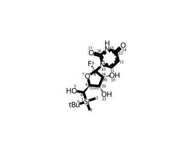 CC(C)(C)[Si](C)(C)C(O)[C@H]1O[C@@](F)(n2ccc(=O)[nH]c2=O)[C@H](O)[C@@H]1O